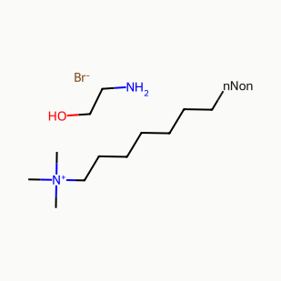 CCCCCCCCCCCCCCCC[N+](C)(C)C.NCCO.[Br-]